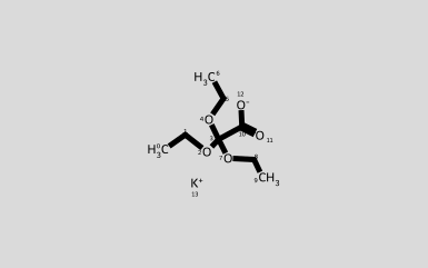 CCOC(OCC)(OCC)C(=O)[O-].[K+]